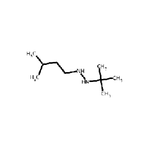 CC(C)CCNNC(C)(C)C